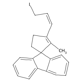 CC1=C(/C=C\CI)CCC12c1ccccc1-c1ccccc12